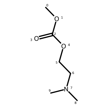 COC(=O)OCCN(C)C